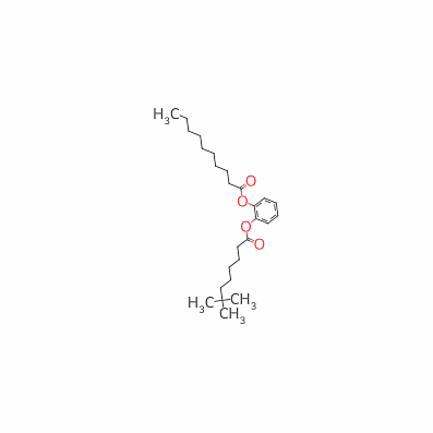 CCCCCCCCCC(=O)Oc1ccccc1OC(=O)CCCCCC(C)(C)C